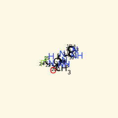 CC(C)(Nc1ccnc(-c2c[nH]c3ncccc23)n1)C(=O)NCC(F)F